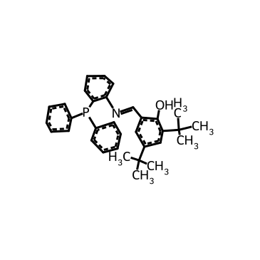 CC(C)(C)c1cc(/C=N/c2ccccc2P(c2ccccc2)c2ccccc2)c(O)c(C(C)(C)C)c1